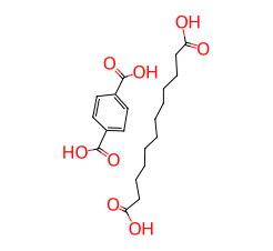 O=C(O)CCCCCCCCCCC(=O)O.O=C(O)c1ccc(C(=O)O)cc1